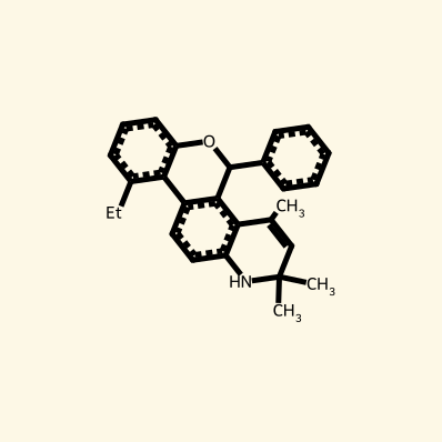 CCc1cccc2c1-c1ccc3c(c1C(c1ccccc1)O2)C(C)=CC(C)(C)N3